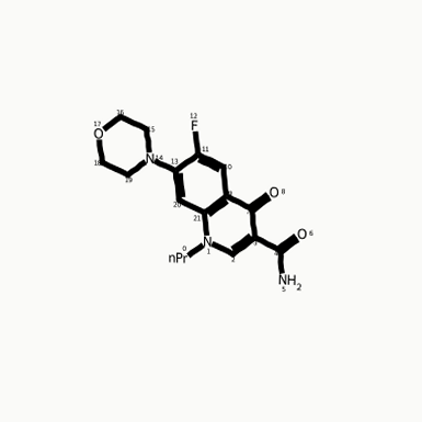 CCCn1cc(C(N)=O)c(=O)c2cc(F)c(N3CCOCC3)cc21